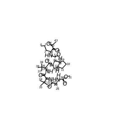 CCC[C@H](NC(=O)[C@@H]1[C@H]2CCC[C@H]2CN1C(=O)[C@@H](NC(=O)[C@@H](NC(=O)[C@@H](C)NC(=O)OC)C(C)(C)C)C(C)(C)C)C(=O)C(C)=O